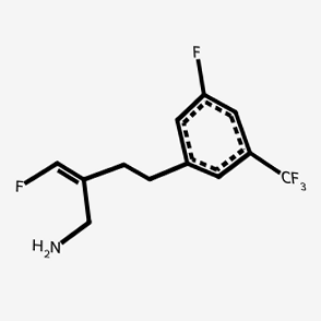 NC/C(=C\F)CCc1cc(F)cc(C(F)(F)F)c1